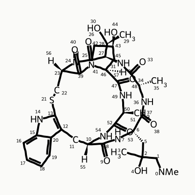 CNCC(C)(O)C[C@@H]1NC(=O)[C@@H]2Cc3c([nH]c4ccccc34)SC[C@H](NC(=O)[C@@H]([C@H](C)O)NC(=O)[C@H](C)NC1=O)C(=O)N1C[C@@H](O)C[C@H]1C(=O)N[C@@H](C)C(=O)N2